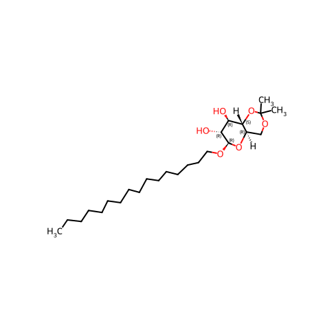 CCCCCCCCCCCCCCCCO[C@@H]1O[C@@H]2COC(C)(C)O[C@H]2[C@H](O)[C@H]1O